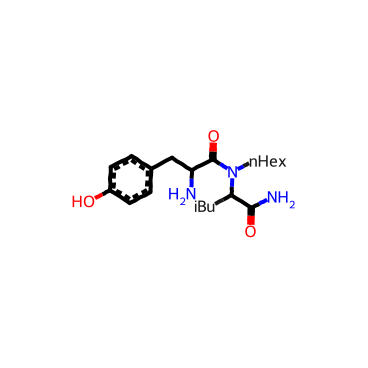 CCCCCCN(C(=O)C(N)Cc1ccc(O)cc1)C(C(N)=O)C(C)CC